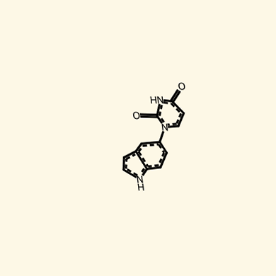 O=c1ccn(-c2ccc3[nH]ccc3c2)c(=O)[nH]1